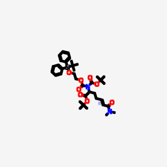 CN(C)C(=O)/C=C/CCC(C(=O)OC(C)(C)C)N(C(=O)OCCO[Si](c1ccccc1)(c1ccccc1)C(C)(C)C)C(=O)OC(C)(C)C